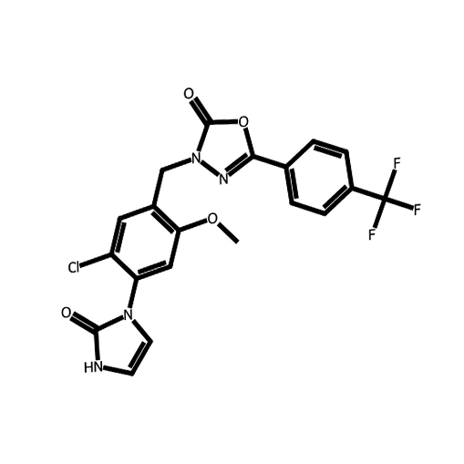 COc1cc(-n2cc[nH]c2=O)c(Cl)cc1Cn1nc(-c2ccc(C(F)(F)F)cc2)oc1=O